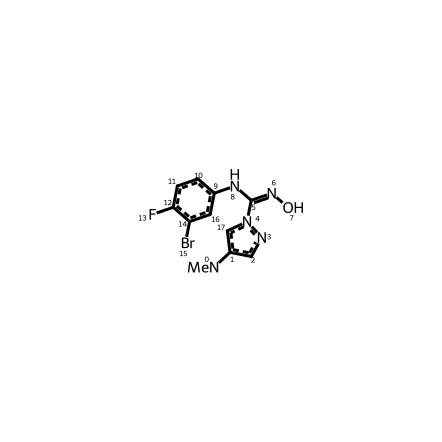 CNc1cnn(C(=NO)Nc2ccc(F)c(Br)c2)c1